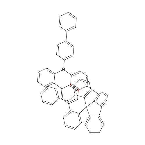 c1ccc(-c2ccc(N(c3ccc(-c4cccc5c4C4(c6ccccc6-5)c5ccccc5N(c5ccccc5)c5ccccc54)cc3)c3ccccc3-c3ccccc3)cc2)cc1